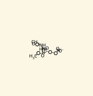 COc1ccc(NCCNC(=O)C(CNC(=O)c2cccc(C)c2)c2ccc(-c3cccc([N+](=O)[O-])c3)cc2)cc1